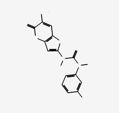 Cc1cccc(N(C)C(=O)N(C)c2cc3oc(=O)c(C(=O)O)cc3s2)c1